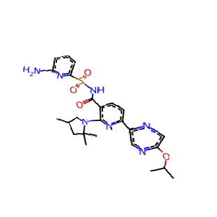 CC1CN(c2nc(-c3cnc(OC(C)C)cn3)ccc2C(=O)NS(=O)(=O)c2cccc(N)n2)C(C)(C)C1